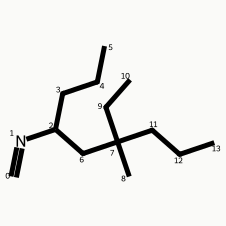 C=NC(CCC)CC(C)(CC)CCC